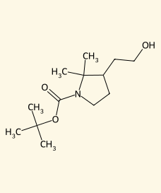 CC(C)(C)OC(=O)N1CCC(CCO)C1(C)C